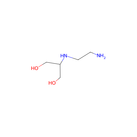 NCCNC(CO)CO